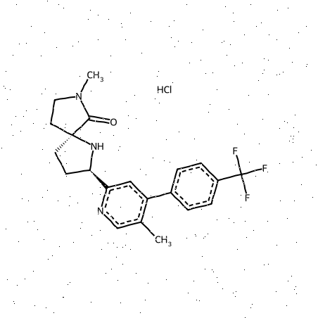 Cc1cnc([C@H]2CC[C@@]3(CCN(C)C3=O)N2)cc1-c1ccc(C(F)(F)F)cc1.Cl